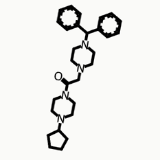 O=C(CN1CCN(C(c2ccccc2)c2ccccc2)CC1)N1CCN(C2CCCC2)CC1